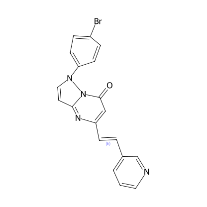 O=c1cc(/C=C/c2cccnc2)nc2ccn(-c3ccc(Br)cc3)n12